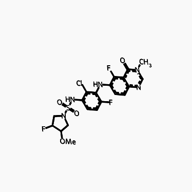 COC1CN(S(=O)(=O)Nc2ccc(F)c(Nc3ccc4ncn(C)c(=O)c4c3F)c2Cl)CC1F